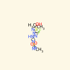 Cn1cc(S(=O)(=O)N2CCC(Nc3ncc(C(F)(F)F)c(-c4ncc(C(C)(C)O)s4)n3)CC2)cn1